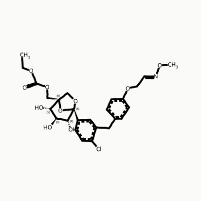 CCOC(=O)OC[C@@]12CO[C@@](c3ccc(Cl)c(Cc4ccc(OCC=NOC)cc4)c3)(O1)[C@H](O)[C@@H](O)[C@@H]2O